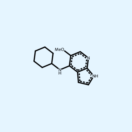 COc1cnc2[nH]ccc2c1NC1CCCCC1